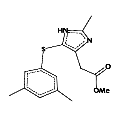 COC(=O)Cc1nc(C)[nH]c1Sc1cc(C)cc(C)c1